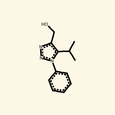 CC(C)c1c(CO)nnn1-c1ccccc1